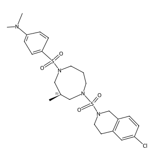 C[C@H]1CN(S(=O)(=O)c2ccc(N(C)C)cc2)CCCN(S(=O)(=O)N2CCc3cc(Cl)ccc3C2)C1